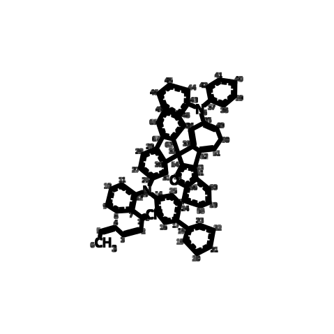 C=C(/C=C\C=C/C)c1ccccc1N(c1ccc(-c2ccccc2)cc1)c1ccc2c(c1)C1(C3=CC(N(c4ccccc4)c4ccccc4)=CCC=C3c3c1oc1ccccc31)c1ccccc1-2